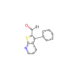 CCC(=O)c1sc2ncccc2c1-c1ccccc1